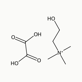 C[N+](C)(C)CCO.O=C(O)C(=O)O